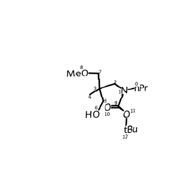 CCCN(CC(C)(CO)COC)C(=O)OC(C)(C)C